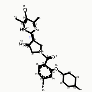 CC1=N/C(=C2\CN(C(=O)c3ccc(F)cc3OC3CCC(F)CC3)CC2=N)NC(C)=C1Cl